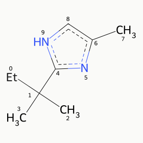 CCC(C)(C)c1nc(C)c[nH]1